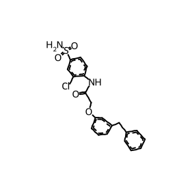 NS(=O)(=O)c1ccc(NC(=O)COc2cccc(Cc3ccccc3)c2)c(Cl)c1